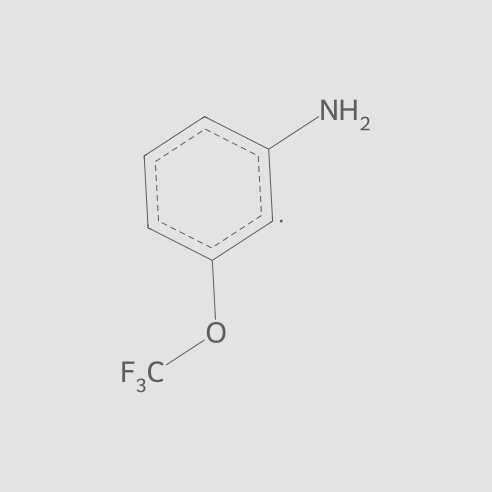 Nc1[c]c(OC(F)(F)F)ccc1